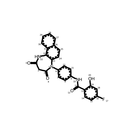 O=C1CC(=O)N(c2ccc(NC(=O)c3ccc(F)cc3O)cc2)c2ccc3ccccc3c2N1